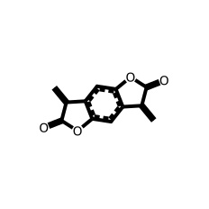 C=C1C(=O)Oc2cc3c(cc21)OC(=O)C3=C